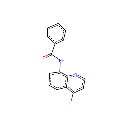 O=C(Nc1cccc2c(F)ccnc12)c1ccccc1